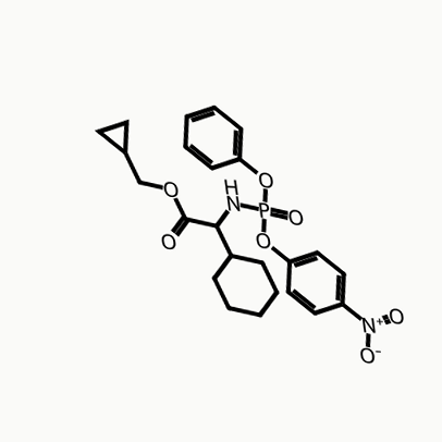 O=C(OCC1CC1)C(NP(=O)(Oc1ccccc1)Oc1ccc([N+](=O)[O-])cc1)C1CCCCC1